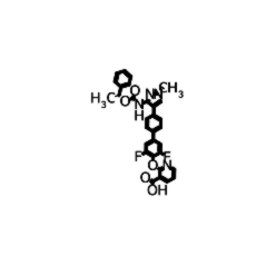 C[C@@H](OC(=O)Nc1nn(C)cc1-c1ccc(-c2cc(F)c(Oc3ncccc3C(=O)O)c(F)c2)cc1)c1ccccc1